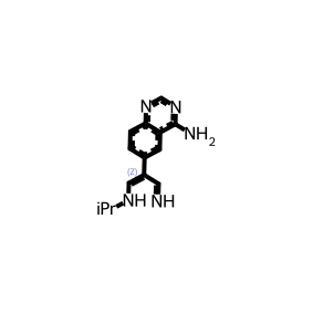 CC(C)N/C=C(\C=N)c1ccc2ncnc(N)c2c1